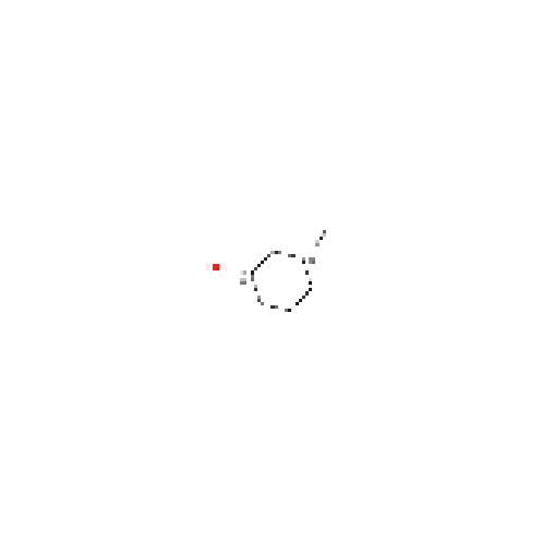 CC(=O)[C@@H]1CCC[C@H](O)C1